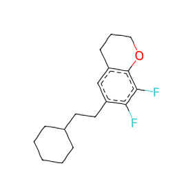 Fc1c(CCC2CCCCC2)cc2c(c1F)OCCC2